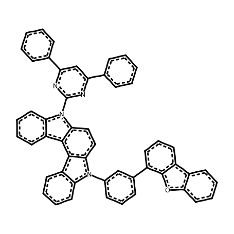 c1ccc(-c2cc(-c3ccccc3)nc(-n3c4ccccc4c4c5c6ccccc6n(-c6cccc(-c7cccc8c7oc7ccccc78)c6)c5ccc43)n2)cc1